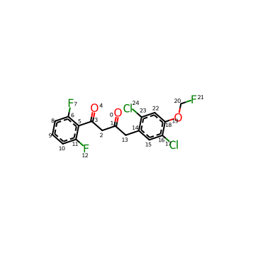 O=C(CC(=O)c1c(F)cccc1F)Cc1cc(Cl)c(OCF)cc1Cl